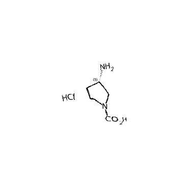 Cl.N[C@H]1CCN(C(=O)O)C1